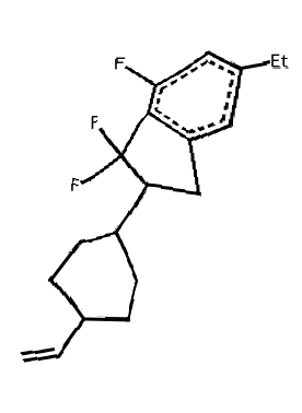 C=CC1CCC(C2Cc3cc(CC)cc(F)c3C2(F)F)CC1